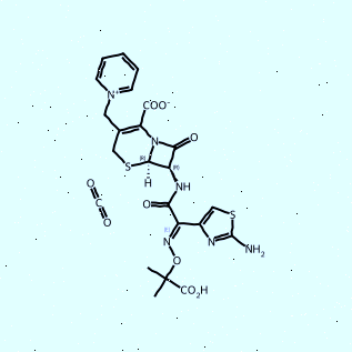 CC(C)(O/N=C(/C(=O)N[C@@H]1C(=O)N2C(C(=O)[O-])=C(C[n+]3ccccc3)CS[C@H]12)c1csc(N)n1)C(=O)O.O=C=O